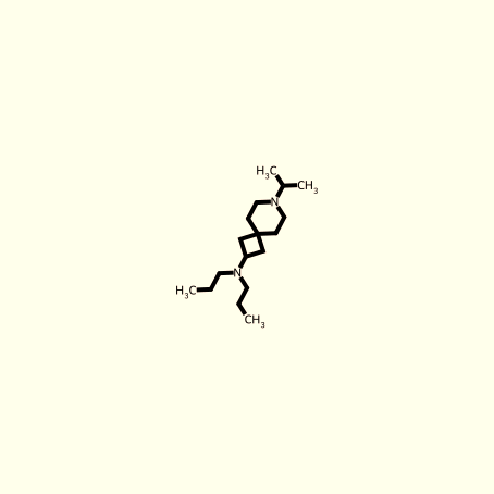 CCCN(CCC)C1CC2(CCN(C(C)C)CC2)C1